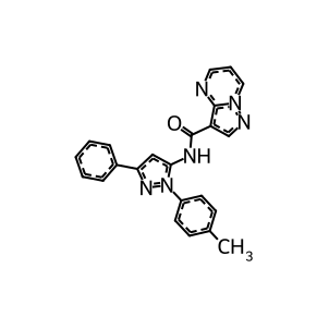 Cc1ccc(-n2nc(-c3ccccc3)cc2NC(=O)c2cnn3cccnc23)cc1